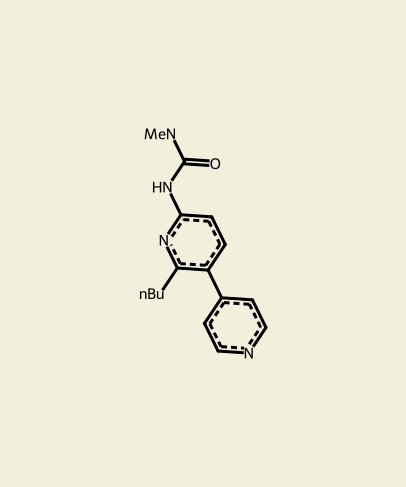 CCCCc1nc(NC(=O)NC)ccc1-c1ccncc1